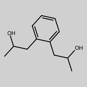 CC(O)Cc1ccccc1CC(C)O